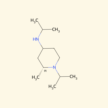 CC(C)NC1CCN(C(C)C)[C@H](C)C1